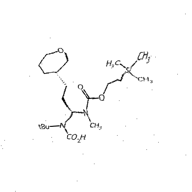 CN(C(=O)OCC[Si](C)(C)C)[C@H](CC[C@@H]1CCCOC1)N(C(=O)O)C(C)(C)C